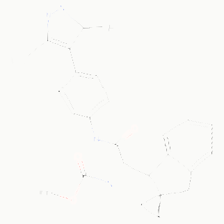 Cc1n[nH]c(C)c1-c1ccc(NC(=O)[C@@H](NC(=O)OC(C)C)C2c3ccccc3CC23CC3)cc1